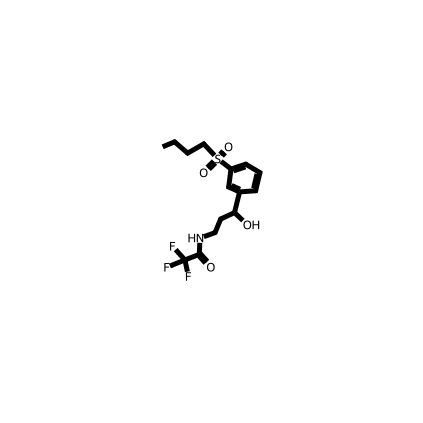 CCCCS(=O)(=O)c1cccc(C(O)CCNC(=O)C(F)(F)F)c1